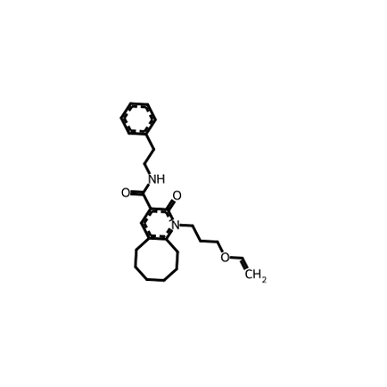 C=COCCCn1c2c(cc(C(=O)NCCc3ccccc3)c1=O)CCCCCC2